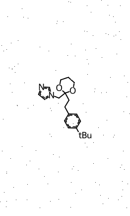 CC(C)(C)c1ccc(CCC2(Cn3ccnc3)OCCCO2)cc1